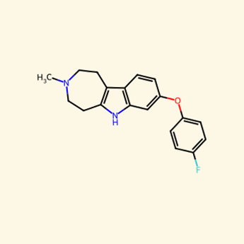 CN1CCc2[nH]c3cc(Oc4ccc(F)cc4)ccc3c2CC1